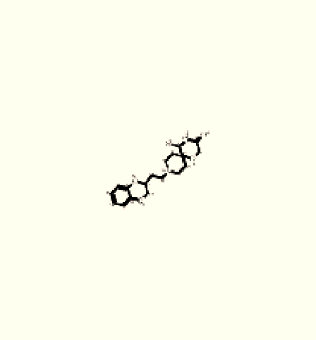 CC(C)C1NC(=O)COC12CCN(CCC1COc3ccccc3O1)CC2